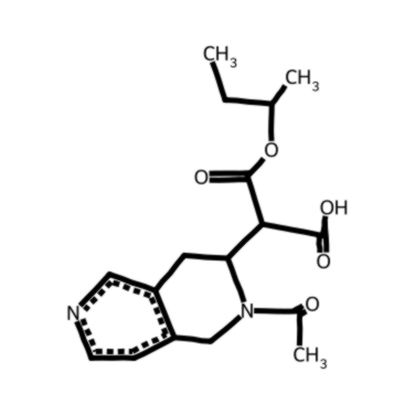 CCC(C)OC(=O)C(C(=O)O)C1Cc2cnccc2CN1C(C)=O